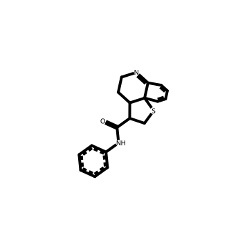 O=C(Nc1ccccc1)C1CSC23C=CC=CC2=NCCC13